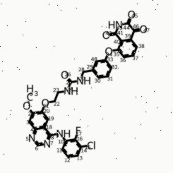 COc1cc2ncnc(Nc3cccc(Cl)c3F)c2cc1OCCNC(=O)NCc1cccc(Oc2cccc3c2C(=O)NC(=O)C3=O)c1